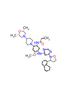 C=CC(=O)Nc1cc(Nc2cc(N3OCCC3c3cccc4ccccc34)ncn2)c(OC)cc1N1CCC(N2C[C@@H](C)O[C@@H](C)C2)CC1